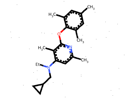 CCN(CC1CC1)c1cc(C)nc(Oc2c(C)cc(C)cc2C)c1C